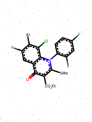 CCOC(=O)c1c(SC)n(-c2ccc(F)cc2F)c2c(Cl)c(C(C)=O)c(F)cc2c1=O